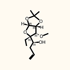 C=CC[C@H](O)[C@]1(CC)O[C@@H]2OC(C)(C)O[C@@H]2[C@@H]1OC